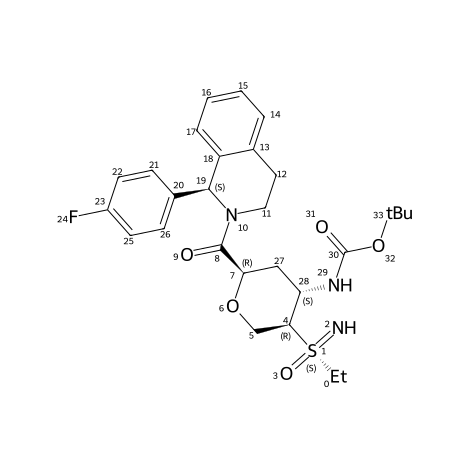 CC[S@](=N)(=O)[C@H]1CO[C@@H](C(=O)N2CCc3ccccc3[C@@H]2c2ccc(F)cc2)C[C@@H]1NC(=O)OC(C)(C)C